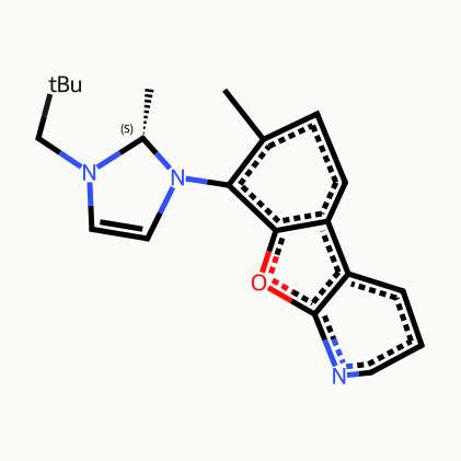 Cc1ccc2c(oc3ncccc32)c1N1C=CN(CC(C)(C)C)[C@@H]1C